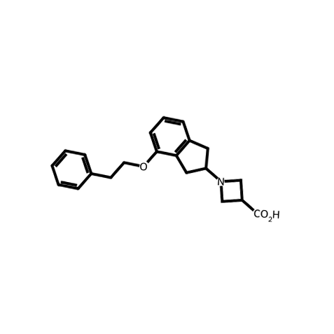 O=C(O)C1CN(C2Cc3cccc(OCCc4ccccc4)c3C2)C1